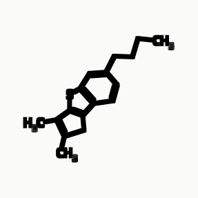 CCCCc1ccc2c3c(sc2c1)C(C)=C(C)C3